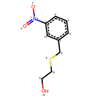 O=[N+]([O-])c1cccc(CSCCO)c1